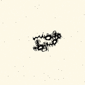 CCCCCCN(C)[C@H]1CC[C@H](N(C(=O)O)c2cc(CCCC(=O)Nc3cc(OC)c(C=O)cc3Cl)ccc2-c2ccccc2)CC1